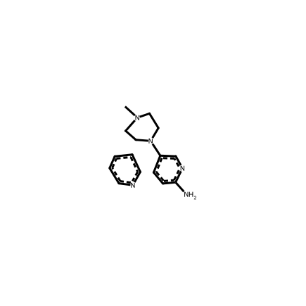 CN1CCN(c2ccc(N)nc2)CC1.c1ccncc1